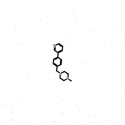 CN1CCN(Cc2ccc(-c3c[c]cnc3)cc2)CC1